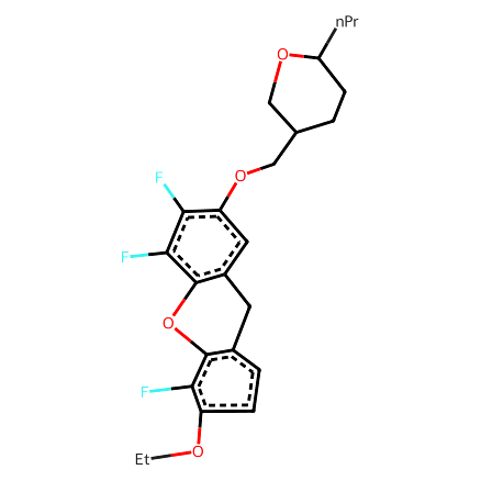 CCCC1CCC(COc2cc3c(c(F)c2F)Oc2c(ccc(OCC)c2F)C3)CO1